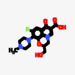 CN1CCN(c2c(F)cc3c(=O)c(C(=O)O)cn4c3c2OC(CO)C4)CC1